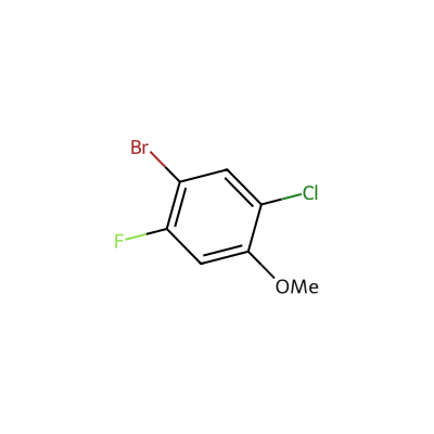 COc1cc(F)c(Br)cc1Cl